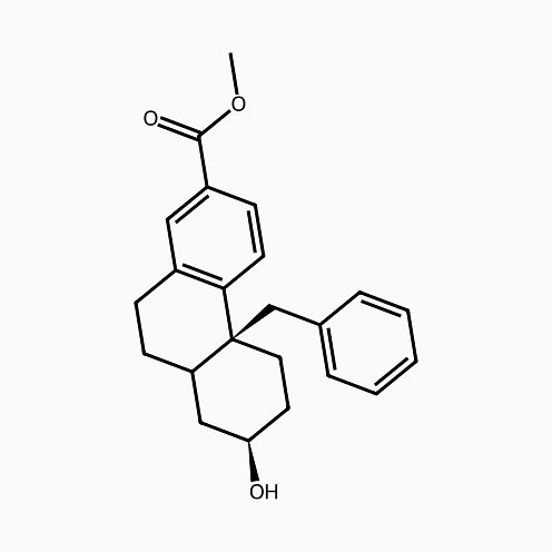 COC(=O)c1ccc2c(c1)CCC1C[C@H](O)CC[C@@]21Cc1ccccc1